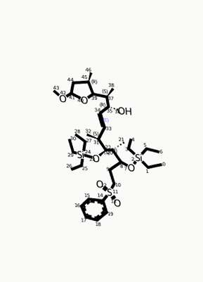 CC[Si](CC)(CC)OC(CCS(=O)(=O)c1ccccc1)[C@@H](C)[C@@H](O[Si](CC)(CC)CC)[C@@H](C)/C=C/[C@@H](O)[C@H](C)C1OC(OC)C[C@H]1C